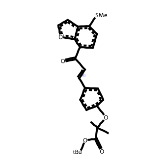 CSc1ccc(C(=O)/C=C/c2ccc(OC(C)(C)C(=O)OC(C)(C)C)cc2)c2occc12